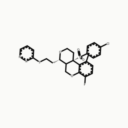 O=S(=O)(c1ccc(Cl)cc1)[C@@]12CCO[C@@H](CCSc3cccnn3)C1COc1c(F)ccc(F)c12